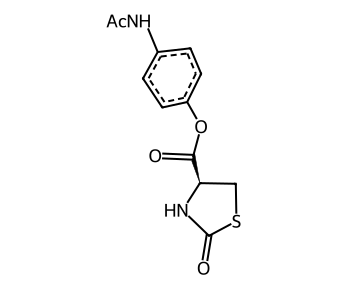 CC(=O)Nc1ccc(OC(=O)[C@H]2CSC(=O)N2)cc1